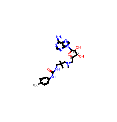 CN(C[C@H]1OC(n2cnc3c(N)ncnc32)[C@H](O)[C@@H]1O)CC(C)(C)CNC(=O)Nc1ccc(C(C)(C)C)cc1